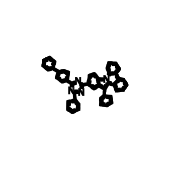 c1ccc(-c2ccc(-c3nc(-c4ccccc4)nc(-c4ccc5c(c4)c(-c4ccccc4)c4c6ccccc6c6ccccc6n54)n3)cc2)cc1